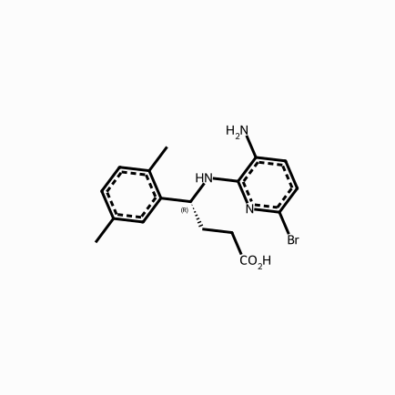 Cc1ccc(C)c([C@@H](CCC(=O)O)Nc2nc(Br)ccc2N)c1